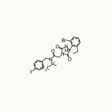 C[C@H](N(Cc1ccc(F)cc1)C(=O)CN1C(=O)N[C@]2(CCc3cccc(Br)c32)C1=O)C(F)(F)F